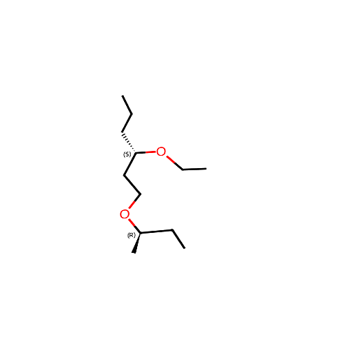 CCC[C@@H](CCO[C@H](C)CC)OCC